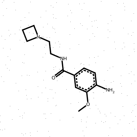 COc1cc(C(=O)NCCN2CCC2)ccc1N